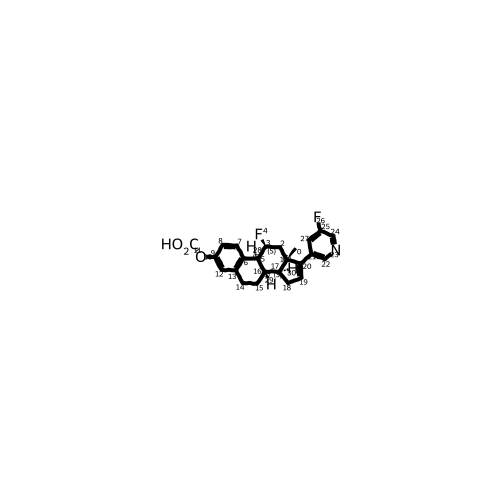 C[C@]12C[C@H](F)[C@@H]3c4ccc(OC(=O)O)cc4CC[C@H]3[C@@H]1CC=C2c1cncc(F)c1